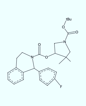 CC(C)(C)OC(=O)N1CC(OC(=O)N2CCc3ccccc3C2c2ccc(F)cc2)C(C)(C)C1